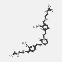 COc1nc(CCN2CCCN(CCc3ccc(CNCCNC(C)=O)c(OC)n3)C2=O)ccc1CNCCNC(C)=O